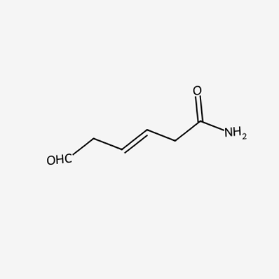 NC(=O)CC=CCC=O